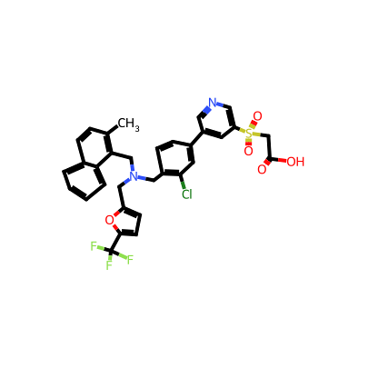 Cc1ccc2ccccc2c1CN(Cc1ccc(C(F)(F)F)o1)Cc1ccc(-c2cncc(S(=O)(=O)CC(=O)O)c2)cc1Cl